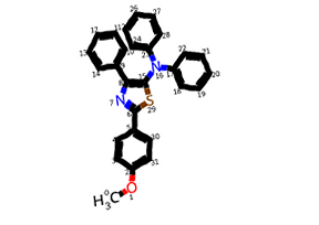 COc1ccc(-c2nc(-c3ccccc3)c(N(c3ccccc3)c3ccccc3)s2)cc1